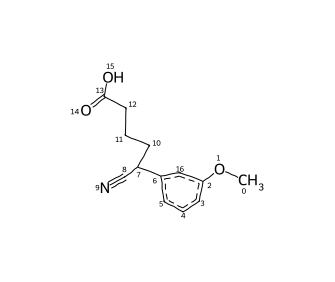 COc1cccc(C(C#N)CCCC(=O)O)c1